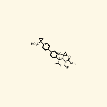 CC(C)C[C@@H](C(N)=O)N([C@@H](c1ccc(-c2ccc(C3(C(=O)O)CC3)cc2)cc1)C(F)F)C1(C#N)CC1